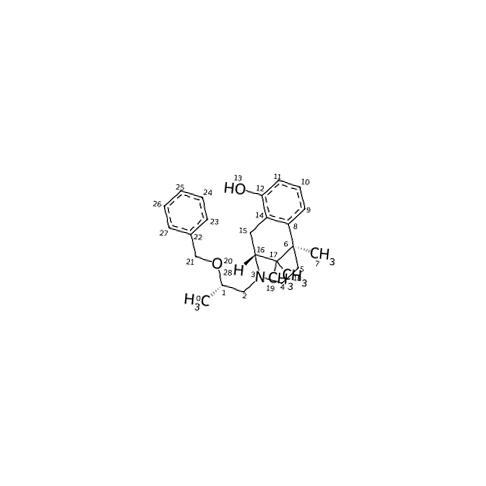 C[C@@H](CN1CC[C@]2(C)c3cccc(O)c3C[C@@H]1C2(C)C)OCc1ccccc1